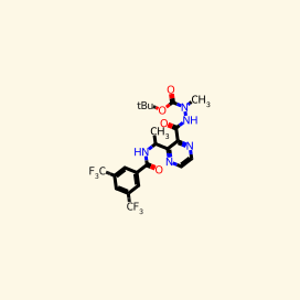 CC(NC(=O)c1cc(C(F)(F)F)cc(C(F)(F)F)c1)c1nccnc1C(=O)NN(C)C(=O)OC(C)(C)C